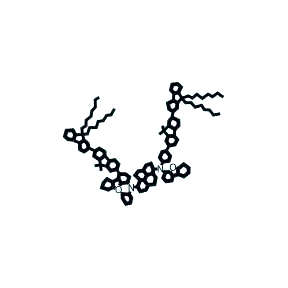 CCCCCCCCC1(CCCCCCCC)c2ccccc2-c2ccc(-c3ccc4c(c3)C(C)(C)c3cc(-c5ccc(N(c6ccc7ccc8c(N(c9ccccc9)c9ccc(-c%10ccc%11c(c%10)C(C)(C)c%10cc(-c%12ccc%13c(c%12)C(CCCCCCCC)(CCCCCCCC)c%12ccccc%12-%13)ccc%10-%11)c%10c9oc9ccccc9%10)ccc9ccc6c7c98)c6cccc7c6oc6ccccc67)cc5)ccc3-4)cc21